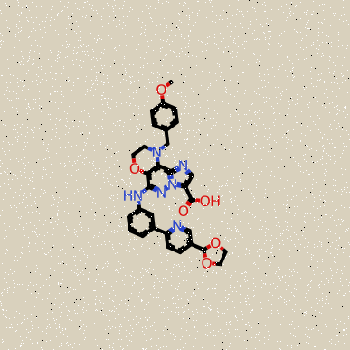 COc1ccc(CN2CCOc3c(Nc4cccc(-c5ccc(C6OCCO6)cn5)c4)nn4c(C(=O)O)cnc4c32)cc1